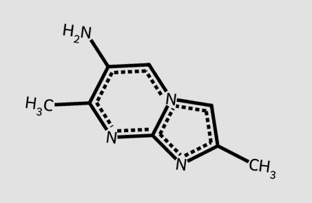 Cc1cn2cc(N)c(C)nc2n1